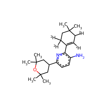 [2H]C1=C(c2nc(C3CC(C)(C)OC(C)(C)C3)ccc2N)C([2H])([2H])CC(C)(C)C1[2H]